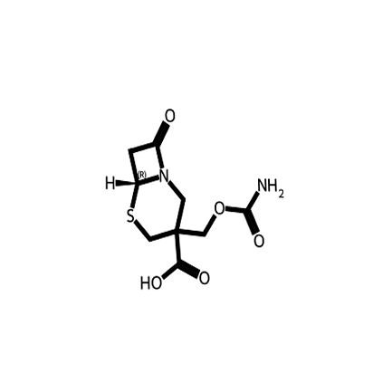 NC(=O)OCC1(C(=O)O)CS[C@@H]2CC(=O)N2C1